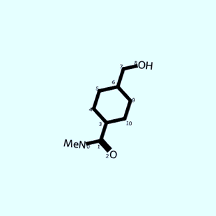 CNC(=O)C1CCC(CO)CC1